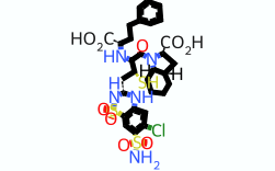 NS(=O)(=O)c1cc2c(cc1Cl)N[C@@H](C[C@H](S)C(N[C@@H](CCc1ccccc1)C(=O)O)C(=O)N1[C@@H]3CCCC[C@@H]3C[C@H]1C(=O)O)NS2(=O)=O